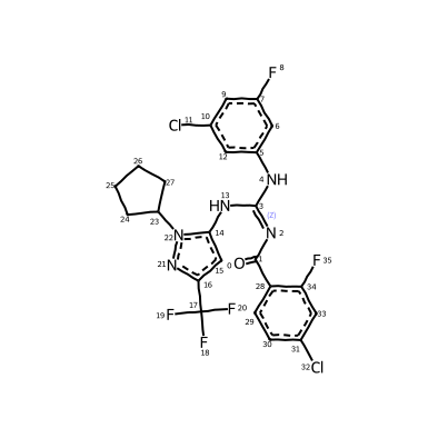 O=C(/N=C(/Nc1cc(F)cc(Cl)c1)Nc1cc(C(F)(F)F)nn1C1CCCC1)c1ccc(Cl)cc1F